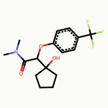 CN(C)C(=O)C(Oc1ccc(C(F)(F)F)cc1)C1(O)CCCC1